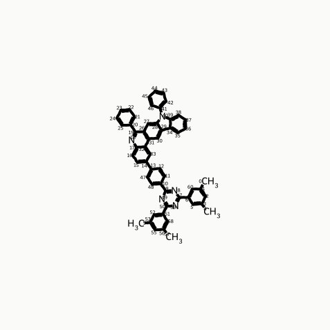 Cc1cc(C)cc(-c2nc(-c3ccc(-c4ccc5nc(-c6ccccc6)c6cc7c(cc6c5c4)c4ccccc4n7-c4ccccc4)cc3)nc(-c3cc(C)cc(C)c3)n2)c1